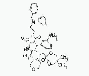 CC1=C(C(=O)OCCN(Cc2ccccc2)c2ccccc2)C(c2cccc([N+](=O)[O-])c2)C(C(CP2(=O)OCC(C)(C)CO2)N2CCOCC2)=C(C)N1